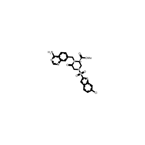 COC(=O)[C@H]1CN(S(=O)(=O)c2cc3ccc(Cl)cc3s2)CC(=O)N1Cc1ccc2c(N)ncnc2c1